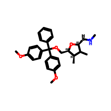 CNB[C@@H]1O[C@H](COC(c2ccccc2)(c2ccc(OC)cc2)c2ccc(OC)cc2)[C@H](C)C1C